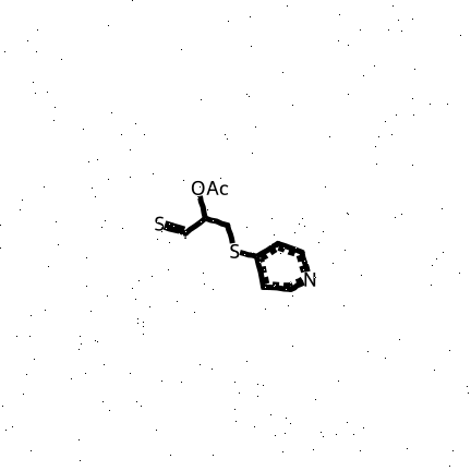 CC(=O)OC([C]=S)CSc1ccncc1